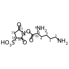 NCCCC[C@H](N)C(=O)ON1C(=O)CC(S(=O)(=O)O)C1=O